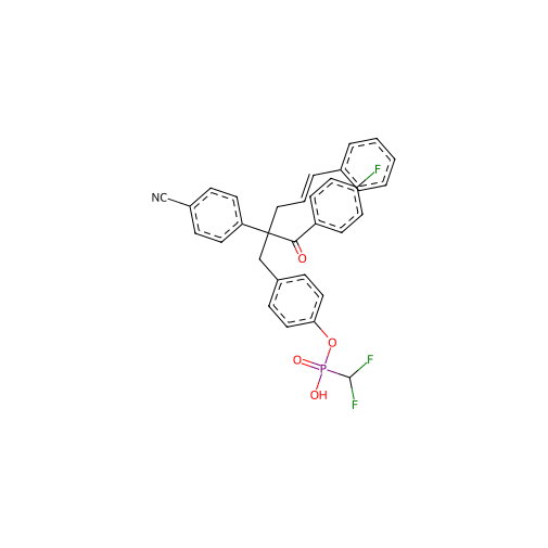 N#Cc1ccc(C(CC=Cc2ccccc2)(Cc2ccc(OP(=O)(O)C(F)F)cc2)C(=O)c2ccc(F)cc2)cc1